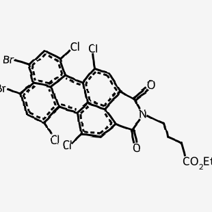 CCOC(=O)CCCN1C(=O)c2cc(Cl)c3c4c(Cl)cc(Br)c5c(Br)cc(Cl)c(c6c(Cl)cc(c2c36)C1=O)c54